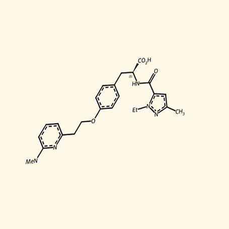 CCn1nc(C)cc1C(=O)N[C@@H](Cc1ccc(OCCc2cccc(NC)n2)cc1)C(=O)O